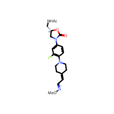 CO/N=C/C=C1CCN(c2ccc(N3C[C@H](CNC(C)=O)OC3=O)cc2F)CC1